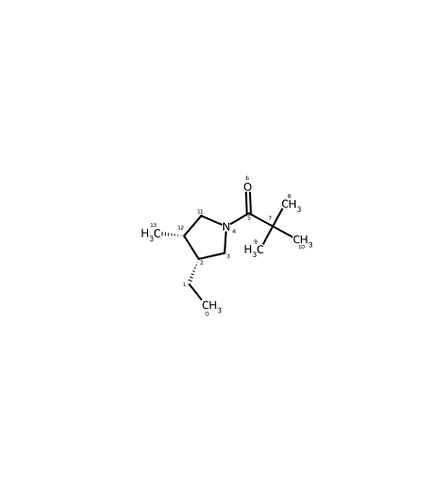 CC[C@H]1CN(C(=O)C(C)(C)C)C[C@H]1C